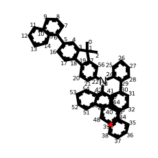 CC1(C)c2cc(-c3cccc4ccccc34)ccc2-c2ccc(N(c3ccccc3-c3ccc(-c4ccccc4)cc3)c3cc4ccccc4c4ccccc34)cc21